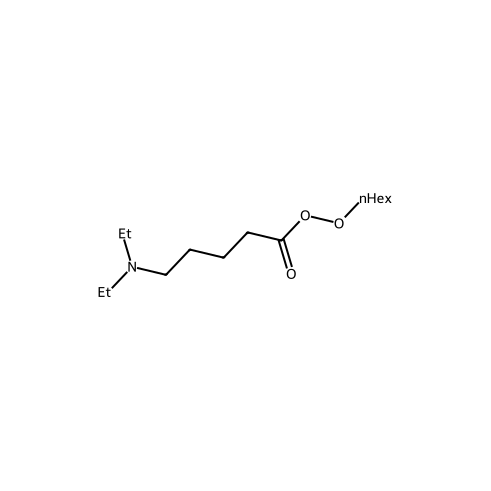 CCCCCCOOC(=O)CCCCN(CC)CC